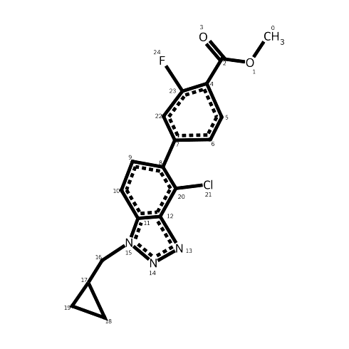 COC(=O)c1ccc(-c2ccc3c(nnn3CC3CC3)c2Cl)cc1F